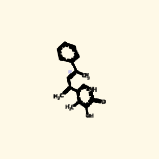 C=C(/C=C(\C)c1ccccc1)c1c[nH]c(=O)c(O)c1C